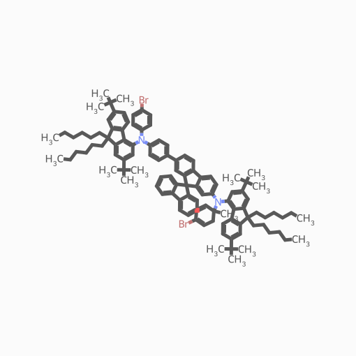 CCCCCCC1(CCCCCC)c2cc(C(C)(C)C)ccc2-c2c(N(c3ccc(Br)cc3)c3ccc(-c4ccc5c(c4)C4(c6ccccc6-c6ccccc64)c4cc(N(c6cc(C(C)(C)C)cc7c6-c6ccc(C(C)(C)C)cc6C7(CCCCCC)CCCCCC)C6(C)C=CC(Br)=CC6)ccc4-5)cc3)cc(C(C)(C)C)cc21